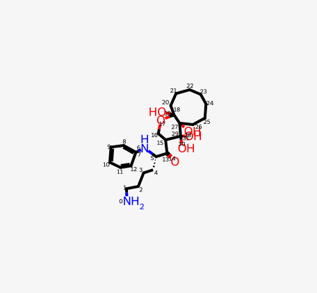 NCCCC[C@H](Nc1ccccc1)C(=O)C1COC2(O)CCCCCCCC2(O)C1(O)O